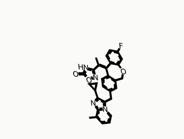 CC(=C1c2ccc(Cc3c(C4CC4)nc4c(C)cccn34)cc2COc2cc(F)ccc21)c1noc(=O)[nH]1